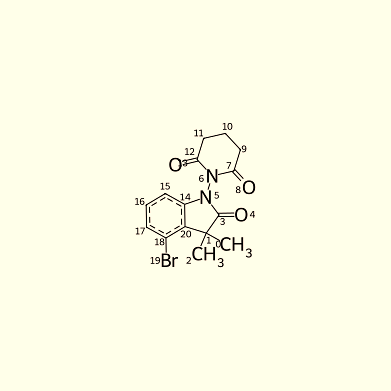 CC1(C)C(=O)N(N2C(=O)CCCC2=O)c2cccc(Br)c21